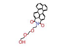 O=C1c2ccc3c4cccc5cccc(c6ccc(c2c36)C(=O)N1CCOCCOCCO)c54